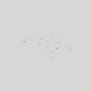 CCC1SC(=O)NN=C1c1ccc2c(c1)CCCN2C(=Nc1ccccc1)c1ccc(OC)c(OC)c1